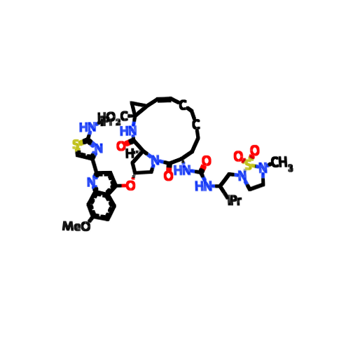 COc1ccc2c(O[C@@H]3C[C@H]4C(=O)N[C@]5(C(=O)O)CC5/C=C\CCCCC[C@H](NC(=O)NC(CN5CCN(C)S5(=O)=O)C(C)C)C(=O)N4C3)cc(-c3csc(NC(C)C)n3)nc2c1